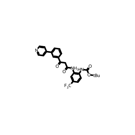 CC(C)(C)OC(=O)Nc1ccc(C(F)(F)F)cc1NC(=O)CC(=O)c1cccc(-c2ccncc2)c1